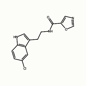 O=C(NCCc1c[nH]c2ccc(Cl)cc12)c1cnco1